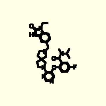 CCn1c(=O)[nH]c2cc(CN3CCC4(CCN(c5ncncc5Oc5ccc(F)cc5C(=O)N(C)C(C)C)C4)C3)ccc21